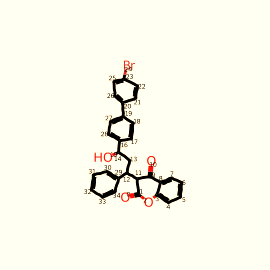 O=C1Oc2ccccc2C(=O)C1C(CC(O)c1ccc(-c2ccc(Br)cc2)cc1)c1ccccc1